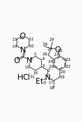 CCN(CC1CCN(C(=O)N2CCOCC2)CC1)C(C)Cc1ccc2c(c1)CC(C)(C)O2.Cl